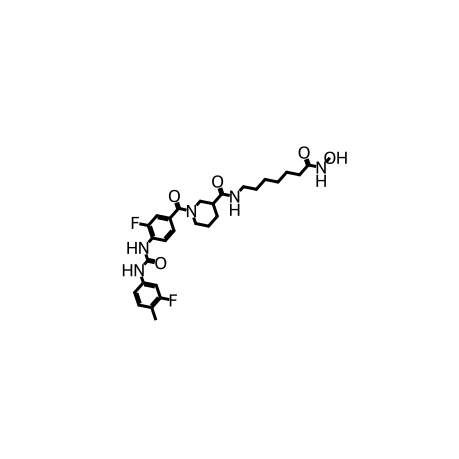 Cc1ccc(NC(=O)Nc2ccc(C(=O)N3CCCC(C(=O)NCCCCCCC(=O)NO)C3)cc2F)cc1F